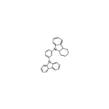 C1=CC2C(CC1)c1ccccc1N2c1cccc(-n2c3ccccc3c3ccccc32)c1